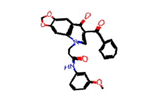 COc1cccc(NC(=O)Cn2cc(C(=O)c3ccccc3)c(=O)c3cc4c(cc32)OCO4)c1